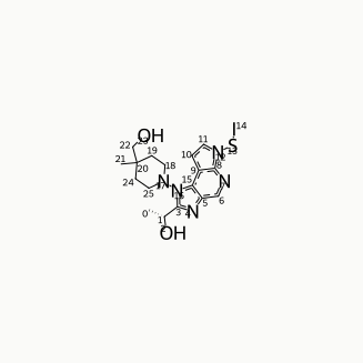 C[C@@H](O)c1nc2cnc3c(ccn3SI)c2n1N1CCC(C)(CO)CC1